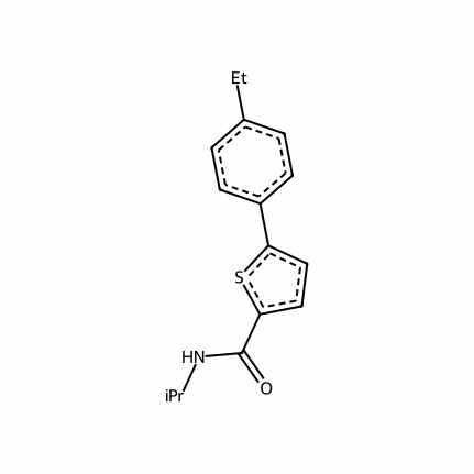 CCc1ccc(-c2ccc(C(=O)NC(C)C)s2)cc1